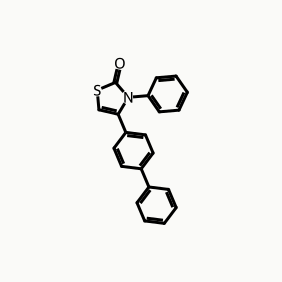 O=c1scc(-c2ccc(-c3ccccc3)cc2)n1-c1ccccc1